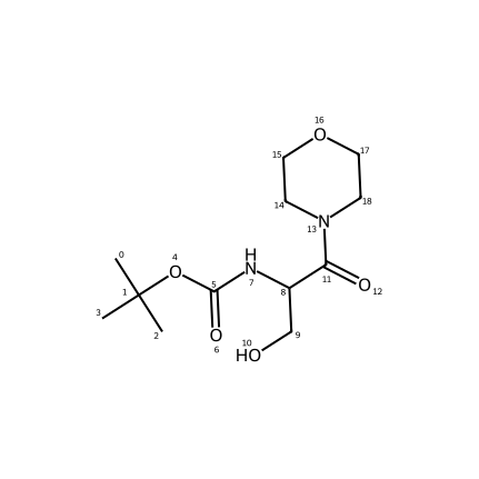 CC(C)(C)OC(=O)NC(CO)C(=O)N1CCOCC1